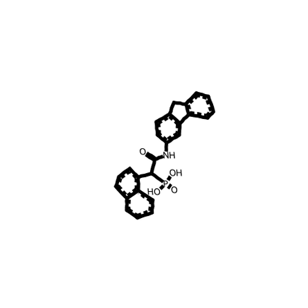 O=C(Nc1ccc2c(c1)-c1ccccc1C2)C(c1cccc2ccccc12)P(=O)(O)O